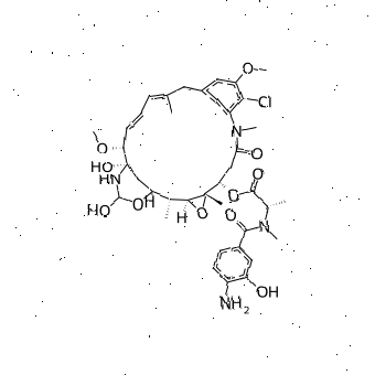 COc1cc2cc(c1Cl)N(C)C(=O)C[C@H](OC(=O)[C@H](C)N(C)C(=O)c1ccc(N)c(O)c1)[C@]1(C)O[C@H]1[C@H](C)[C@@H]1C[C@@](O)(NC(O)O1)[C@H](OC)/C=C/C=C(\C)C2